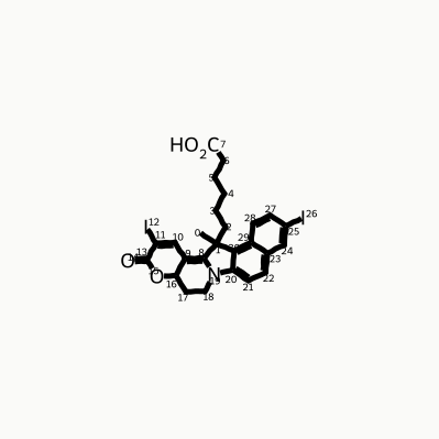 CC1(CCCCCC(=O)O)C2=C3C=C(I)C(=O)OC3CCN2c2ccc3cc(I)ccc3c21